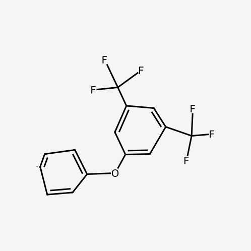 FC(F)(F)c1cc(Oc2cc[c]cc2)cc(C(F)(F)F)c1